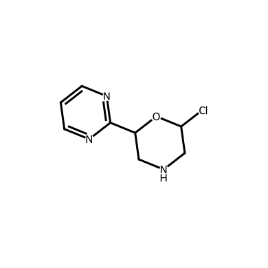 ClC1CNCC(c2ncccn2)O1